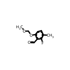 COCOc1ccc(C)c(F)c1C=O